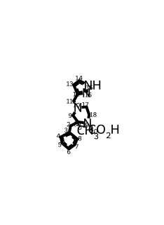 C[C@]1(Cc2ccccc2)CN(Cc2cc[nH]n2)CCN1C(=O)O